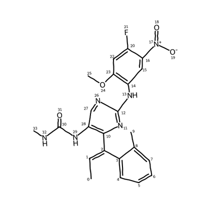 C/C=C(\c1ccccc1C)c1nc(Nc2cc([N+](=O)[O-])c(F)cc2OC)ncc1NC(=O)NC